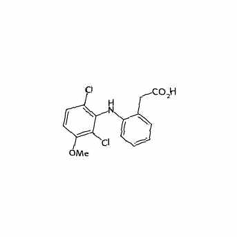 COc1ccc(Cl)c(Nc2ccccc2CC(=O)O)c1Cl